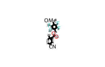 COCc1c(F)c(F)c(COC(=O)C2C(C=C(C)C#N)C2(C)C)c(F)c1F